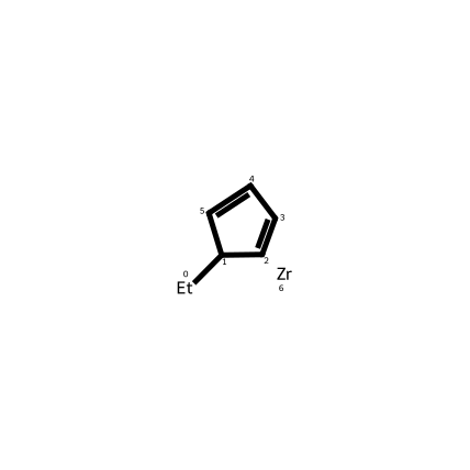 [CH2]CC1C=CC=C1.[Zr]